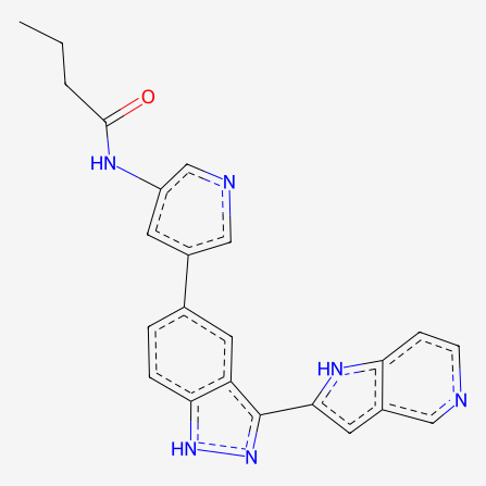 CCCC(=O)Nc1cncc(-c2ccc3[nH]nc(-c4cc5cnccc5[nH]4)c3c2)c1